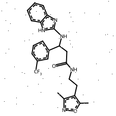 Cc1noc(C)c1CCNC(=O)CC(Nc1nc2ccccc2[nH]1)c1cccc(C(F)(F)F)c1